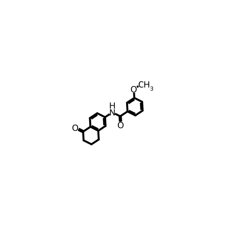 COc1cccc(C(=O)Nc2ccc3c(c2)CCCC3=O)c1